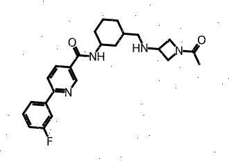 CC(=O)N1CC(NCC2CCCC(NC(=O)c3ccc(-c4cccc(F)c4)nc3)C2)C1